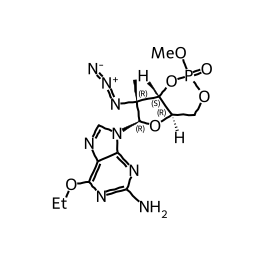 CCOc1nc(N)nc2c1ncn2[C@@H]1O[C@@H]2COP(=O)(OC)O[C@H]2[C@@]1(C)N=[N+]=[N-]